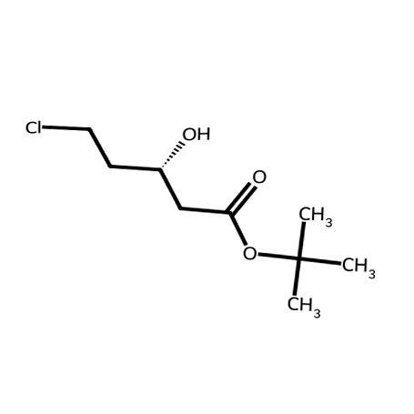 CC(C)(C)OC(=O)C[C@@H](O)CCCl